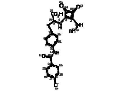 CCCNc1c(N[C@@H](Cc2ccc(NC(=O)c3cc[n+]([O-])cc3)cc2)C(=O)O)c(=O)c1=O